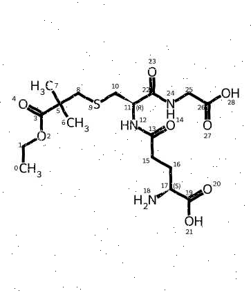 CCOC(=O)C(C)(C)CSC[C@H](NC(=O)CC[C@H](N)C(=O)O)C(=O)NCC(=O)O